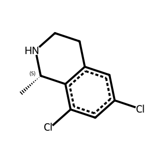 C[C@@H]1NCCc2cc(Cl)cc(Cl)c21